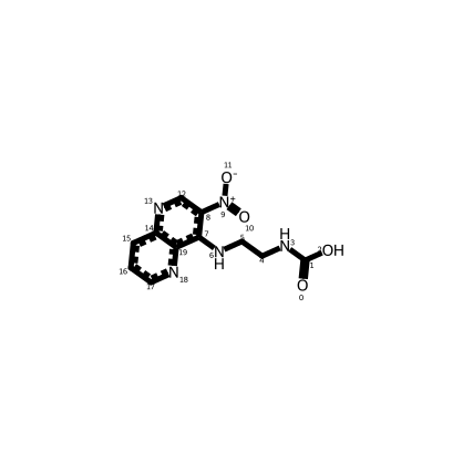 O=C(O)NCCNc1c([N+](=O)[O-])cnc2cccnc12